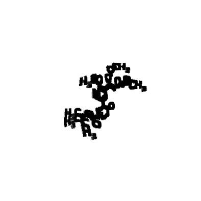 COCOCC(OCOC)c1cc(C2CN(C(=O)OC(C)(C)C)CCC2=O)cnc1OC